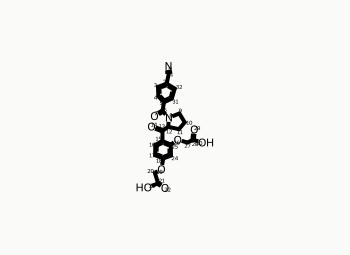 N#Cc1ccc(C(=O)N2CCCC2C(=O)c2ccc(OCC(=O)O)cc2OCC(=O)O)cc1